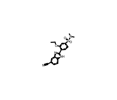 CCOc1cc(S(=O)(=O)N(C)C)ccc1-c1nc2cc(C#N)ccc2[nH]1